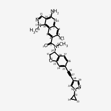 CN(C(=O)c1cc2c(cc1Cl)nc(N)c1cnn(C)c12)[C@@H]1COc2cc(C#Cc3cnn(C4CC4)c3)ccc21